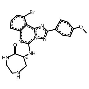 COc1ccc(-c2nc3c4c(Br)cccc4nc(N[C@H]4CNCCNC4=O)n3n2)cc1